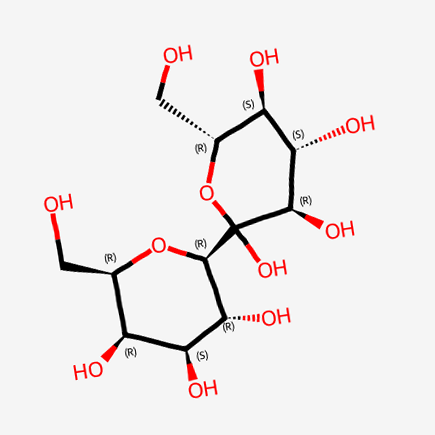 OC[C@H]1O[C@@H](C2(O)O[C@H](CO)[C@@H](O)[C@H](O)[C@H]2O)[C@H](O)[C@@H](O)[C@H]1O